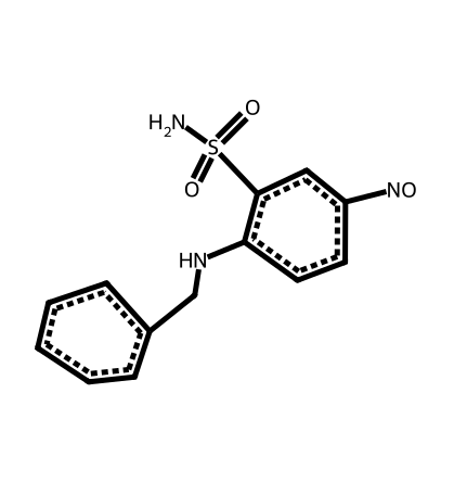 NS(=O)(=O)c1cc(N=O)ccc1NCc1ccccc1